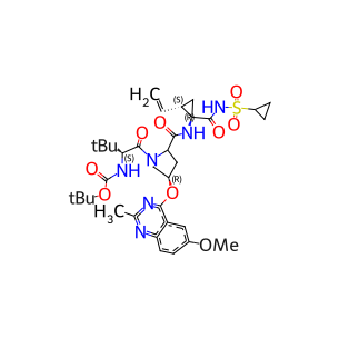 C=C[C@@H]1C[C@]1(NC(=O)C1C[C@@H](Oc2nc(C)nc3ccc(OC)cc23)CN1C(=O)[C@@H](NC(=O)OC(C)(C)C)C(C)(C)C)C(=O)NS(=O)(=O)C1CC1